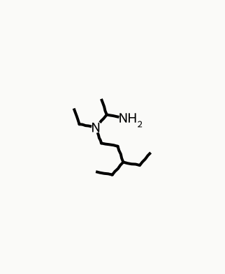 CCC(CC)CCN(CC)C(C)N